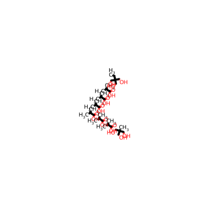 C=C(C)C(=O)O.C=C(C)C(=O)O.C=C(C)C(=O)O.C=C(C)C(=O)O.C=C(C)C(=O)O.C=C(C)C(=O)O.CC(CO)(CO)CO.CCC(CO)(CO)CO